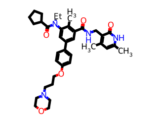 CCN(C(=O)C1CCCC1)c1cc(-c2ccc(OCCCN3CCOCC3)cc2)cc(C(=O)NCc2c(C)cc(C)[nH]c2=O)c1C